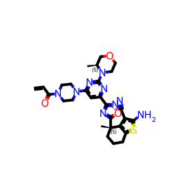 C=CC(=O)N1CCN(c2cc(-c3noc([C@@]4(C)CCCc5sc(N)c(C#N)c54)n3)nc(N3CCOC[C@@H]3C)n2)CC1